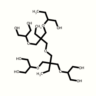 CCC(CO)OCC(CC)(COCC(CC)(COC(CO)CO)COC(CO)CO)COC(CO)CO